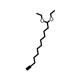 C#CCCCCCCCCCC(OCC)OCC